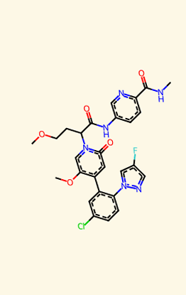 CNC(=O)c1ccc(NC(=O)C(CCOC)n2cc(OC)c(-c3cc(Cl)ccc3-n3cc(F)cn3)cc2=O)cn1